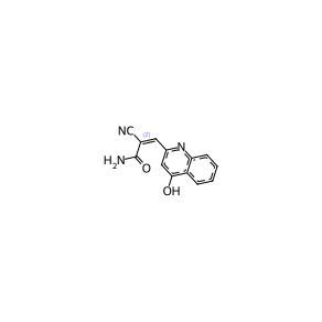 N#C/C(=C/c1cc(O)c2ccccc2n1)C(N)=O